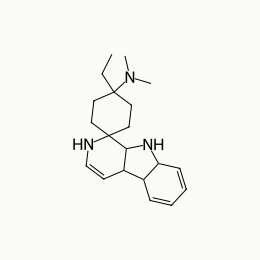 CCC1(N(C)C)CCC2(CC1)NC=CC1C3C=CC=CC3NC12